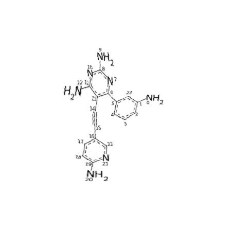 Nc1cccc(-c2nc(N)nc(N)c2C#Cc2ccc(N)nc2)c1